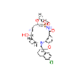 CO[C@H]1C/C=C/[C@H](O)[C@@H]2CC[C@H]2CN2C[C@@]3(CCCc4cc(Cl)ccc43)COc3ccc(cc32)C(=O)NS(=O)(=O)[C@H]1C